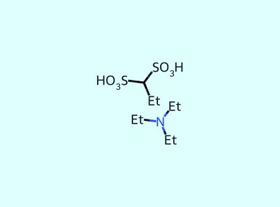 CCC(S(=O)(=O)O)S(=O)(=O)O.CCN(CC)CC